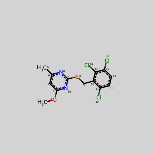 COc1cc(C)nc(SCc2c(Cl)ccc(Cl)c2Cl)n1